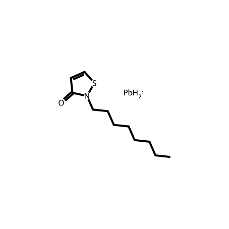 CCCCCCCCn1sccc1=O.[PbH2]